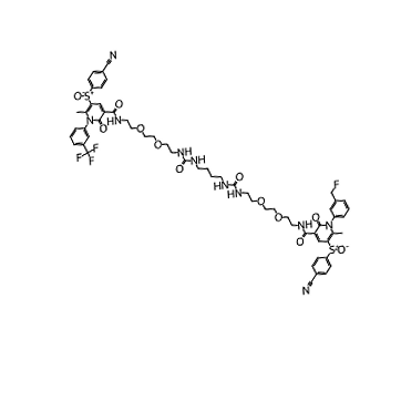 Cc1c([S+]([O-])c2ccc(C#N)cc2)cc(C(=O)NCCOCCOCCNC(=O)NCCCCNC(=O)NCCOCCOCCNC(=O)c2cc([S+]([O-])c3ccc(C#N)cc3)c(C)n(-c3cccc(C(F)(F)F)c3)c2=O)c(=O)n1-c1cccc(CF)c1